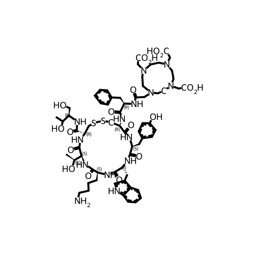 CC(O)[C@@H](CO)NC(=O)[C@@H]1CSSC[C@H](NC(=O)[C@@H](Cc2ccccc2)NC(=O)CN2CCN(CC(=O)O)CCN(CC(=O)O)CCN(CC(=O)O)CC2)C(=O)N[C@@H](Cc2ccc(O)cc2)C(=O)N[C@H](Cc2c[nH]c3ccccc23)C(=O)N[C@@H](CCCCN)C(=O)N[C@@H]([C@H](C)O)C(=O)N1